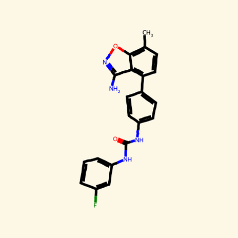 Cc1ccc(-c2ccc(NC(=O)Nc3cccc(F)c3)cc2)c2c(N)noc12